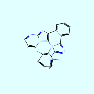 CCNc1nnc(-c2ccccc2-c2nc3ncccn3c2Nc2c(Cl)cccc2Cl)o1